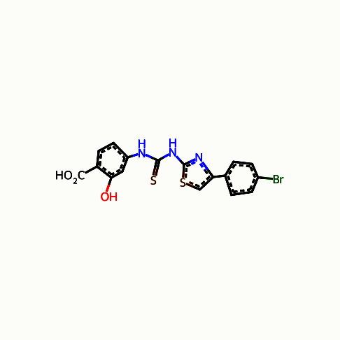 O=C(O)c1ccc(NC(=S)Nc2nc(-c3ccc(Br)cc3)cs2)cc1O